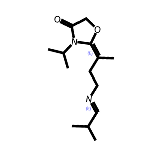 C/C(CC/N=C/C(C)C)=C1\OCC(=O)N1C(C)C